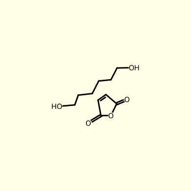 O=C1C=CC(=O)O1.OCCCCCCO